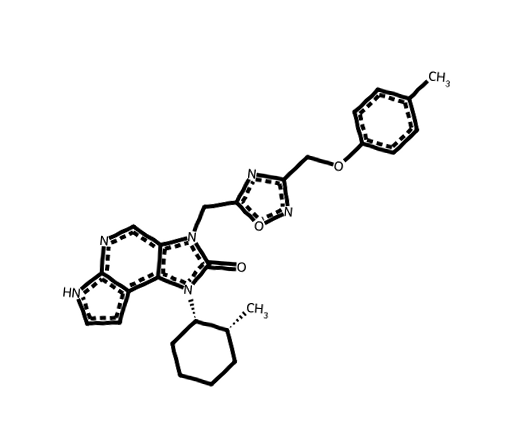 Cc1ccc(OCc2noc(Cn3c(=O)n([C@H]4CCCC[C@H]4C)c4c5cc[nH]c5ncc43)n2)cc1